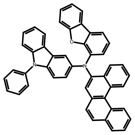 c1ccc(-n2c3ccccc3c3cc(N(c4cc5ccc6ccccc6c5c5ccccc45)c4cccc5c4oc4ccccc45)ccc32)cc1